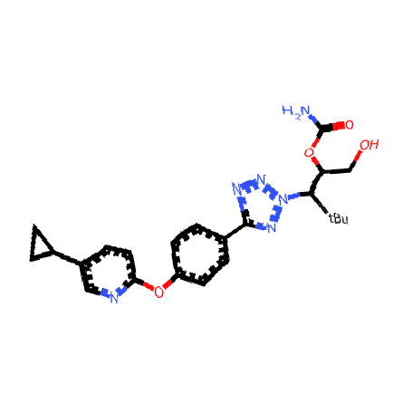 CC(C)(C)C(C(CO)OC(N)=O)n1nnc(-c2ccc(Oc3ccc(C4CC4)cn3)cc2)n1